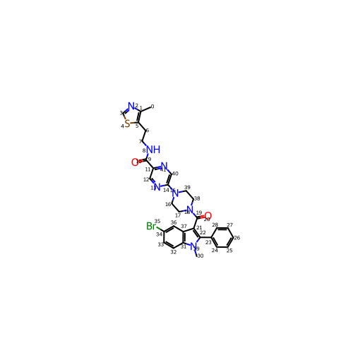 Cc1ncsc1CCNC(=O)c1cnc(N2CCN(C(=O)c3c(-c4ccccc4)n(C)c4ccc(Br)cc34)CC2)cn1